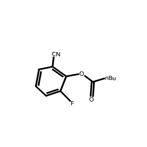 CCCCC(=O)Oc1c(F)cccc1C#N